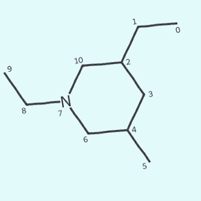 CCC1CC(C)CN(CC)C1